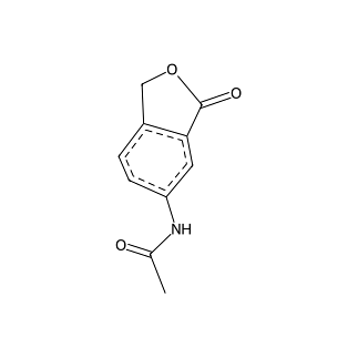 CC(=O)Nc1ccc2c(c1)C(=O)OC2